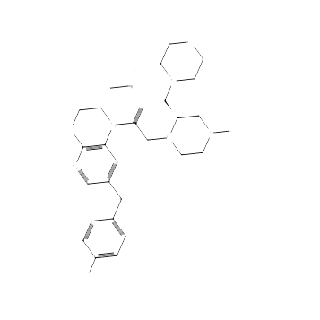 CC(C)C[C@H]1COc2ncc(Cc3ccc(F)cc3)cc2N1C(=O)CN1C[C@@H](C)N(C(=O)O)C[C@@H]1CN1CCOC[C@H]1C